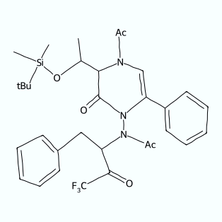 CC(=O)N1C=C(c2ccccc2)N(N(C(C)=O)C(Cc2ccccc2)C(=O)C(F)(F)F)C(=O)C1C(C)O[Si](C)(C)C(C)(C)C